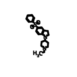 CCN1CCC(N2CCc3cc(S(=O)(=O)c4ccccc4)ccc32)CC1